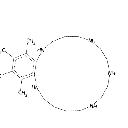 Cc1c(C)c(C)c2c(c1C)NCCCCNCCNCCNCCCN2